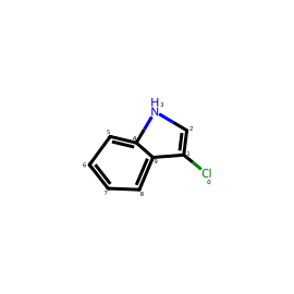 Clc1c[nH]c2c[c]ccc12